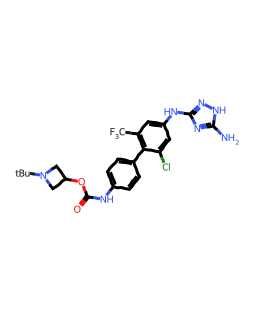 CC(C)(C)N1CC(OC(=O)Nc2ccc(-c3c(Cl)cc(Nc4n[nH]c(N)n4)cc3C(F)(F)F)cc2)C1